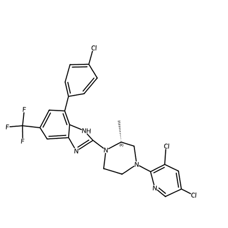 C[C@@H]1CN(c2ncc(Cl)cc2Cl)CCN1c1nc2cc(C(F)(F)F)cc(-c3ccc(Cl)cc3)c2[nH]1